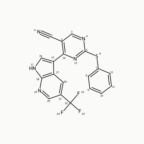 N#Cc1cnc(Sc2ccccc2)nc1-c1c[nH]c2ncc(C(F)(F)F)cc12